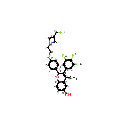 CC1=C(c2cc(F)c(F)c(F)c2)C(c2ccc(OCCN3CC(CF)C3)cc2)Oc2ccc(O)cc21